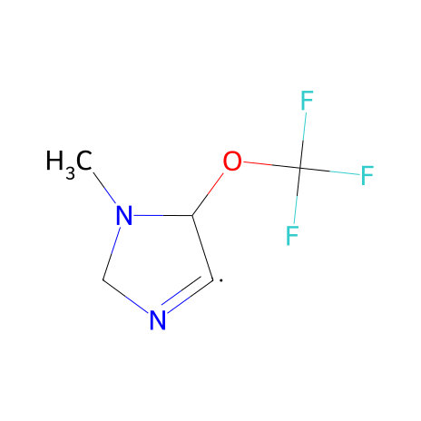 CN1CN=[C]C1OC(F)(F)F